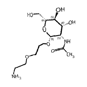 CC(=O)N[C@@H]1[C@H](OCCOCCN)O[C@H](CO)[C@@H](O)[C@@H]1O